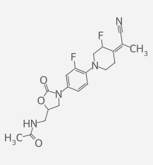 CC(=O)NCC1CN(c2ccc(N3CCC(=C(C)C#N)C(F)C3)c(F)c2)C(=O)O1